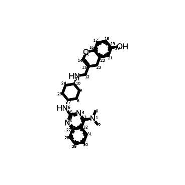 CN(C)c1nc(N[C@H]2CC[C@@H](NCC3=COc4ccc(O)cc4C3)CC2)nc2ccccc12